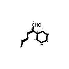 C/C=C/C=C(/[C]=O)C1CCCCC1